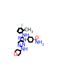 Cc1c(F)cccc1Nc1nc2cnc(NC3CCOCC3)nc2n1[C@H]1CC[C@@H](C(N)=O)CC1